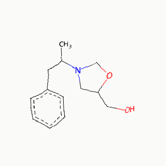 CC(Cc1ccccc1)N1COC(CO)C1